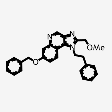 COCc1nc2cnc3cc(OCc4ccccc4)ccc3c2n1CCc1ccccc1